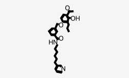 CCCc1c(OCc2cccc(C(=O)NCCCCCCc3cccnc3)c2)ccc(C(C)=O)c1O